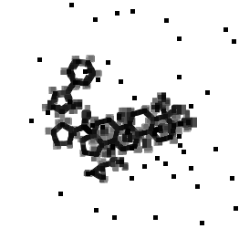 CC1([C@@H]2CC[C@]3(C(=O)N4CCC[C@@H]4c4ncc(-c5ccccc5)[nH]4)CC[C@]4(C)[C@H](CC[C@@H]5[C@@]6(C)CC[C@H](O)C(C)(C)[C@@H]6CC[C@]54C)[C@@H]23)CC1